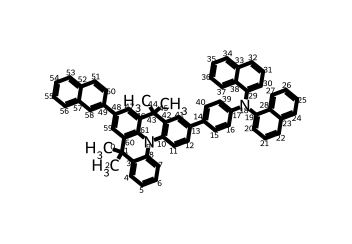 CC1(C)c2ccccc2N2c3ccc(-c4ccc(N(c5cccc6ccccc56)c5cccc6ccccc56)cc4)cc3C(C)(C)c3cc(-c4ccc5ccccc5c4)cc1c32